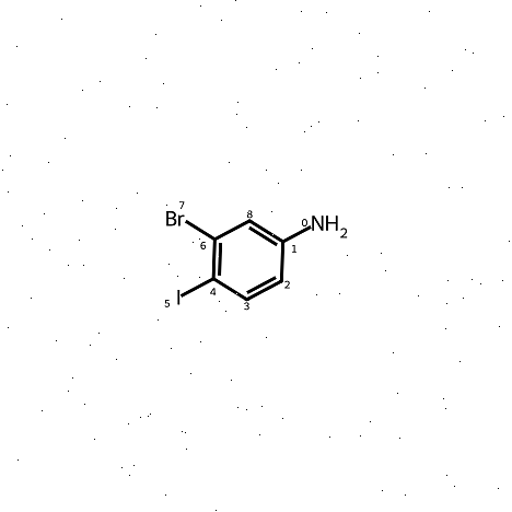 Nc1ccc(I)c(Br)c1